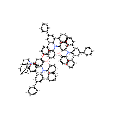 CC(C)c1cc2c3c(c1)N(c1c(-c4ccccc4)cc(-c4ccccc4)cc1-c1ccccc1)c1cc4c(cc1B3c1ccccc1N2c1c(-c2ccccc2)cc(-c2ccccc2)cc1-c1ccccc1)B1c2ccccc2N(c2c(-c3ccccc3)cc(-c3ccccc3)cc2-c2ccccc2)c2cc(N3C5CC6CC(C5)CC3C6)cc(c21)O4